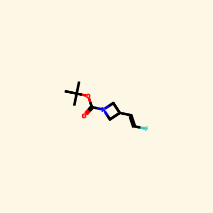 CC(C)(C)OC(=O)N1CC(C=CF)C1